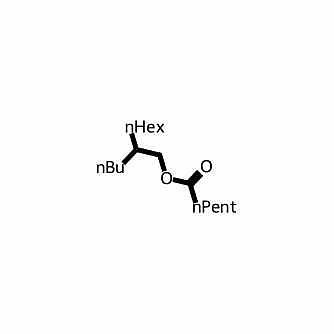 CCCCCCC(CCCC)COC(=O)CCCCC